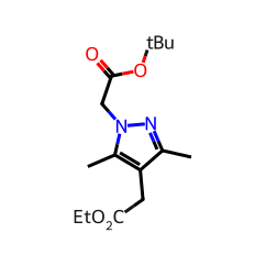 CCOC(=O)Cc1c(C)nn(CC(=O)OC(C)(C)C)c1C